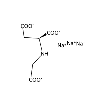 O=C([O-])CN[C@@H](CC(=O)[O-])C(=O)[O-].[Na+].[Na+].[Na+]